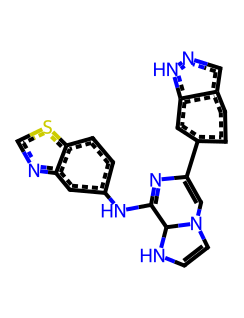 C1=CN2C=C(c3ccc4cn[nH]c4c3)N=C(Nc3ccc4scnc4c3)C2N1